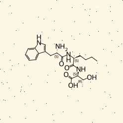 CCCC[C@H](NC(=O)[C@@H](N)Cc1c[nH]c2ccccc12)C(=O)N[C@H](C(=O)O)[C@@H](C)O